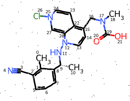 Cc1c(C#N)cccc1[C@@H](C)NN1C=CC(CN(C)C(=O)O)=C2C=CN(Cl)C=C21